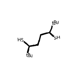 CC(C)(C)C(S)CCC(S)C(C)(C)C